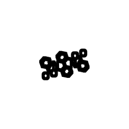 O=c1oc(-c2ccccc2-c2ccccc2-c2nc3ccccc3c(=O)o2)nc2ccccc12